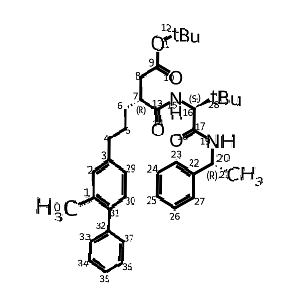 Cc1cc(CCC[C@H](CC(=O)OC(C)(C)C)C(=O)N[C@H](C(=O)N[C@H](C)c2ccccc2)C(C)(C)C)ccc1-c1ccccc1